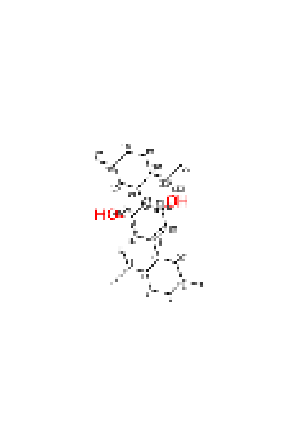 CC1CCC(C(C)C)C(c2cc(O)c(C3CC(C)CCC3C(C)C)c(O)c2)C1